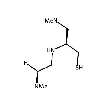 CNC[C@@H](CS)NC[C@H](F)NC